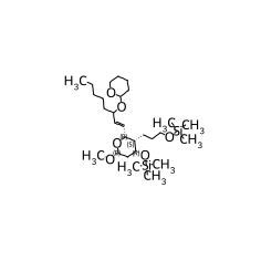 CCCCCC(C=C[C@H]1O[C@@H](OC)C[C@@H](O[Si](C)(C)C)[C@H]1CCCO[Si](C)(C)C)OC1CCCCO1